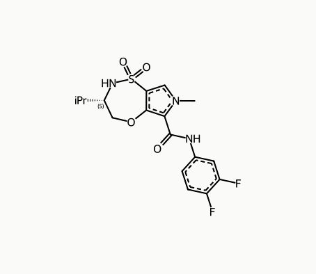 CC(C)[C@H]1COc2c(cn(C)c2C(=O)Nc2ccc(F)c(F)c2)S(=O)(=O)N1